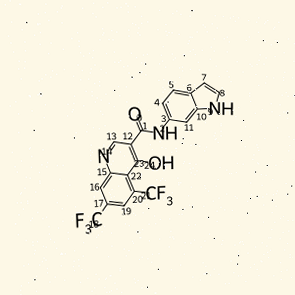 O=C(Nc1ccc2cc[nH]c2c1)c1cnc2cc(C(F)(F)F)cc(C(F)(F)F)c2c1O